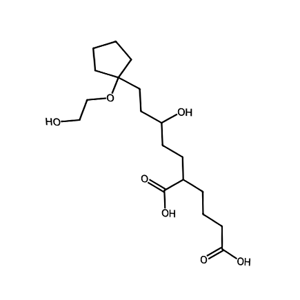 O=C(O)CCCC(CCC(O)CCC1(OCCO)CCCC1)C(=O)O